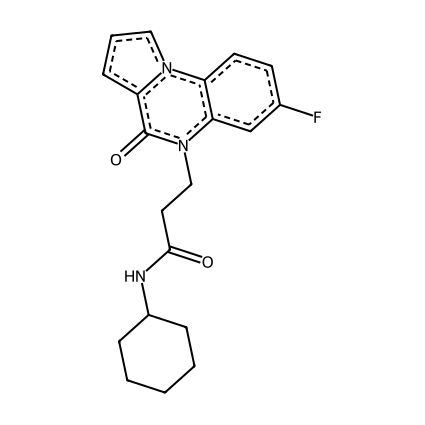 O=C(CCn1c(=O)c2cccn2c2ccc(F)cc21)NC1CCCCC1